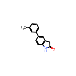 O=C1Cc2cc(-c3cccc(C(F)(F)F)c3)ccc2N1